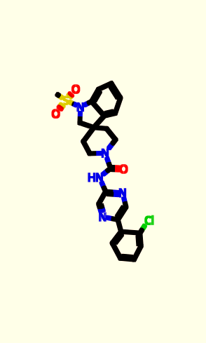 CS(=O)(=O)N1CC2(CCN(C(=O)Nc3cnc(-c4ccccc4Cl)cn3)CC2)c2ccccc21